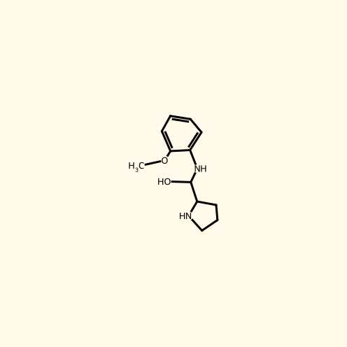 COc1ccccc1NC(O)C1CCCN1